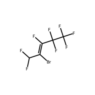 F/C(=C(/Br)C(F)F)C(F)(F)C(F)(F)F